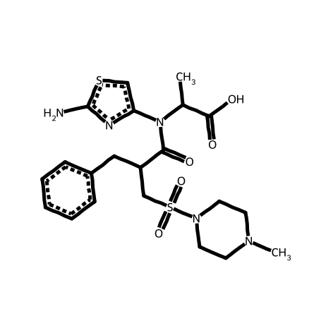 CC(C(=O)O)N(C(=O)C(Cc1ccccc1)CS(=O)(=O)N1CCN(C)CC1)c1csc(N)n1